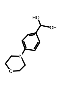 OC(O)c1ccc(N2CCOCC2)cc1